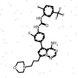 Nc1ncnn2c(CCCN3CCOCC3)cc(-c3ccc(NC(=O)Nc4cc(C(F)(F)F)ccc4I)c(F)c3)c12